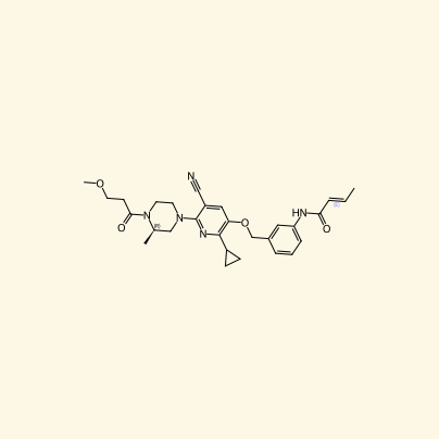 C/C=C/C(=O)Nc1cccc(COc2cc(C#N)c(N3CCN(C(=O)CCOC)[C@H](C)C3)nc2C2CC2)c1